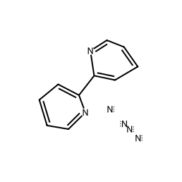 [N].[N].[N].[N].c1ccc(-c2ccccn2)nc1